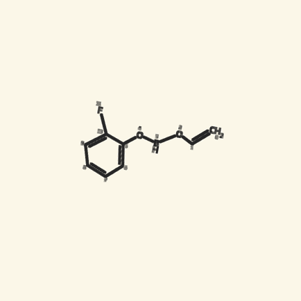 C=COBOc1ccccc1F